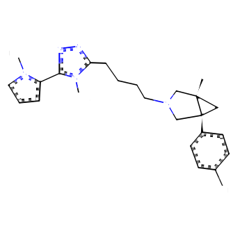 Cn1cccc1-c1nnc(CCCCN2C[C@@H]3C[C@]3(c3ccc(C(F)(F)F)cc3)C2)n1C